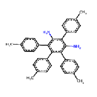 Cc1ccc(-c2c(N)c(-c3ccc(C)cc3)c(-c3ccc(C)cc3)c(-c3ccc(C)cc3)c2N)cc1